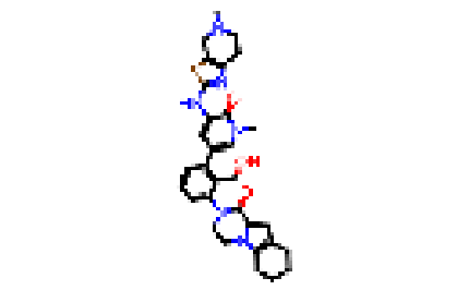 CN1CCc2nc(Nc3cc(-c4cccc(N5CCn6c(cc7c6CCCC7)C5=O)c4CO)cn(C)c3=O)sc2C1